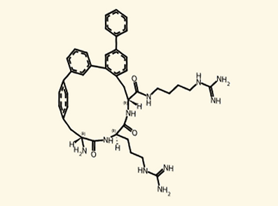 N=C(N)NCCCCNC(=O)[C@H]1Cc2ccc(-c3ccccc3)cc2-c2cccc(c2)-c2ccc(cc2)C[C@@H](N)C(=O)N[C@H](CCCNC(=N)N)C(=O)N1